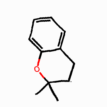 CC1(C)[CH]Cc2ccccc2O1